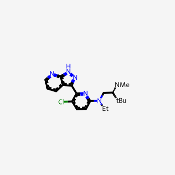 CCN(C[C@@H](NC)C(C)(C)C)c1ccc(Cl)c(-c2n[nH]c3ncccc23)n1